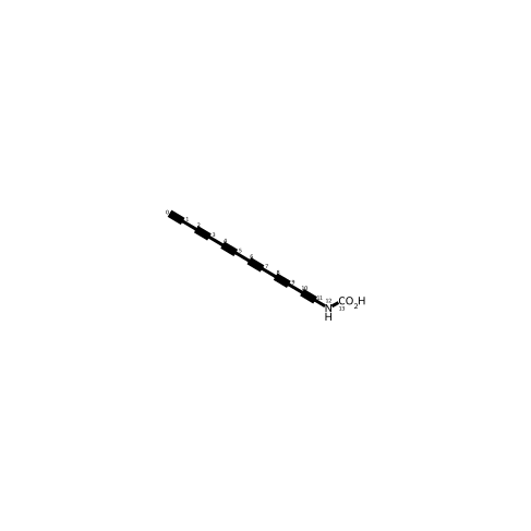 C#CC#CC#CC#CC#CC#CNC(=O)O